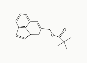 CC(C)(C)C(=O)OCC1=Cc2cccc3c2C(C)(C=C3)C1